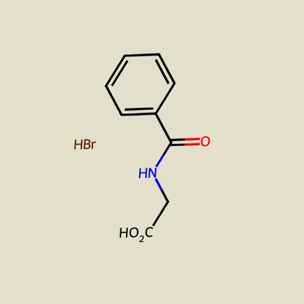 Br.O=C(O)CNC(=O)c1ccccc1